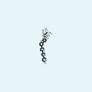 CC(C)[C@H](NS(=O)(=O)c1ccc2c(c1)sc1ccc(-c3ccc(-c4ccc(-c5ccc(Cl)nc5)nc4)nc3)cc12)C(=O)O